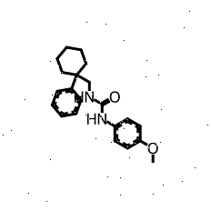 COc1ccc(NC(=O)NCC2(c3ccccc3)CCCCC2)cc1